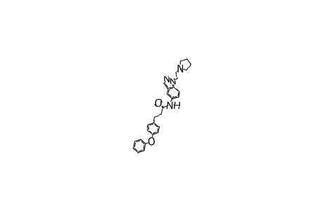 O=C(CCc1ccc(Oc2ccccc2)cc1)Nc1ccc2c(cnn2CCN2CCCC2)c1